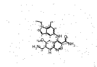 CCn1ncc2cc(Nc3nc(N[C@@H](CN)[C@H](C)OC)nnc3C(N)=O)cc(C)c21